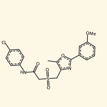 COc1cccc(-c2nc(CS(=O)(=O)CC(=O)Nc3ccc(Cl)cc3)c(C)o2)c1